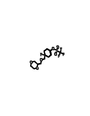 O=S(=O)(OC1=CCC(F)(COCC2COCCO2)CC1)C(F)(F)F